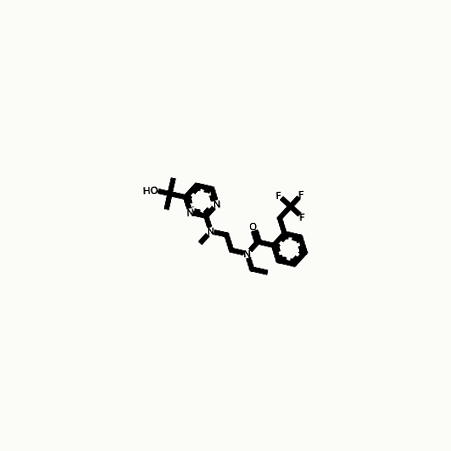 CCN(CCN(C)c1nccc(C(C)(C)O)n1)C(=O)c1ccccc1CC(F)(F)F